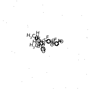 COc1c(Nc2cc(C)[nH]n2)nc(Sc2ccc(S(=O)(=O)c3cccc(N=O)c3F)cc2F)nc1N1CCOCC1